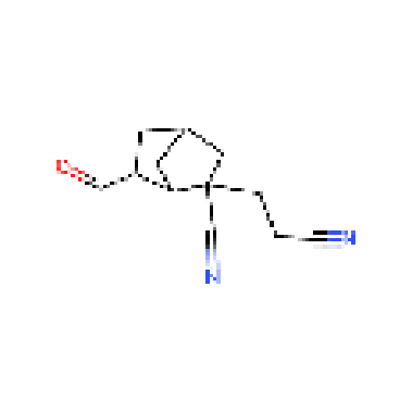 N#CCCC1(C#N)CC2CC(C=O)C1C2